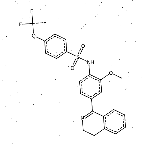 COc1cc(C2=NCCc3ccccc32)ccc1NS(=O)(=O)c1ccc(OC(F)(F)F)cc1